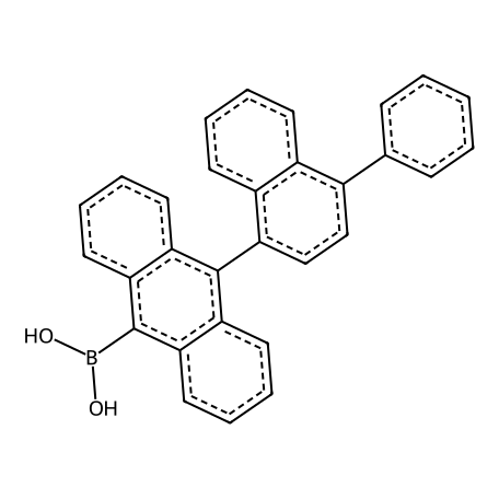 OB(O)c1c2ccccc2c(-c2ccc(-c3ccccc3)c3ccccc23)c2ccccc12